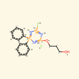 OCCCO[P@@]1(F)=NP(c2ccccc2)(c2ccccc2)=N[PH](F)=N1